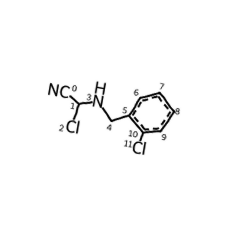 N#CC(Cl)NCc1ccccc1Cl